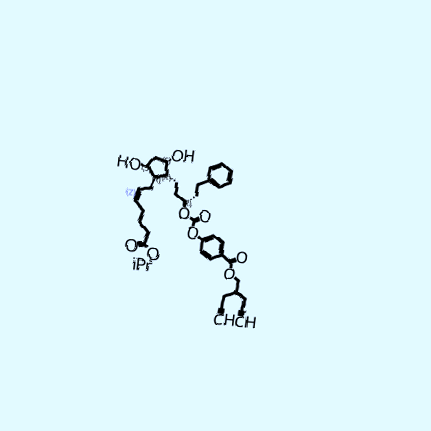 C#CCC(CC#C)COC(=O)c1ccc(OC(=O)O[C@@H](CCc2ccccc2)CC[C@@H]2[C@@H](C/C=C\CCCC(=O)OC(C)C)[C@@H](O)C[C@@H]2O)cc1